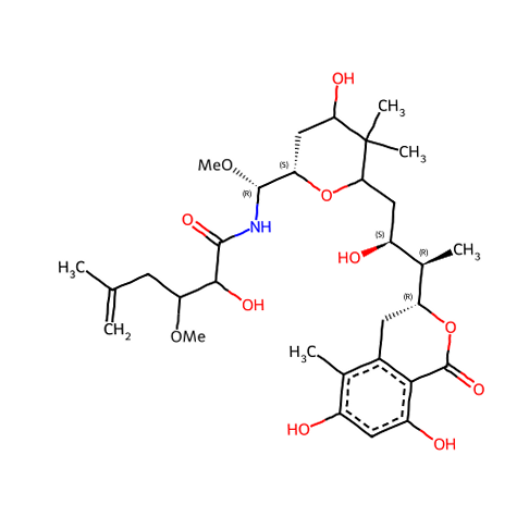 C=C(C)CC(OC)C(O)C(=O)N[C@H](OC)[C@@H]1CC(O)C(C)(C)C(C[C@H](O)[C@@H](C)[C@H]2Cc3c(C)c(O)cc(O)c3C(=O)O2)O1